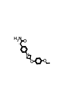 CCOc1ccc(OC2CN(c3ccc([CH]C(N)=O)cc3)C2)cc1